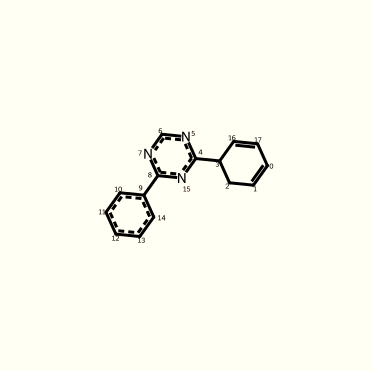 C1=CCC(c2ncnc(-c3ccccc3)n2)C=C1